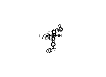 CC(C)(C)OC(=O)Nc1ccc(Cn2ncccc2=O)cc1C(=N)c1cn(-c2ccc(C(=O)N3CCOCC3)cc2)nn1